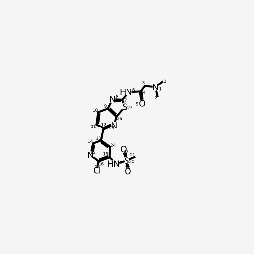 CN(C)CC(=O)Nc1nc2ccc(-c3cnc(Cl)c(NS(C)(=O)=O)c3)nc2s1